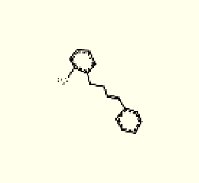 O=[N+]([O-])c1ccccc1CC/C=C/c1ccccc1